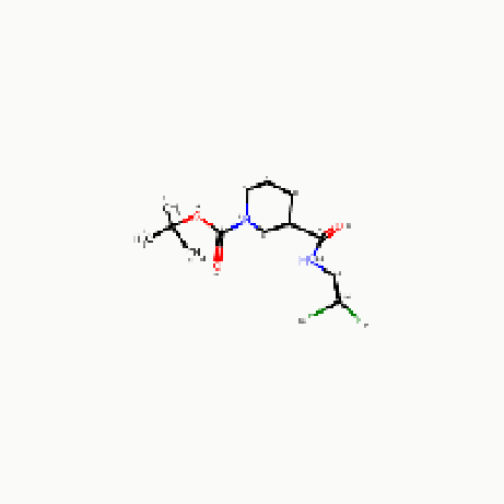 CC(C)(C)OC(=O)N1CCCC(C(=O)NCC(F)F)C1